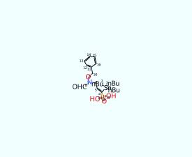 CCC[CH2][Sn]([CH2]CCC)([CH2]CCC)[C](=CCN(C=O)OCc1ccccc1)P(=O)(O)O